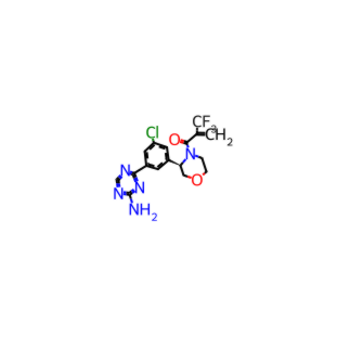 C=C(C(=O)N1CCOC[C@H]1c1cc(Cl)cc(-c2ncnc(N)n2)c1)C(F)(F)F